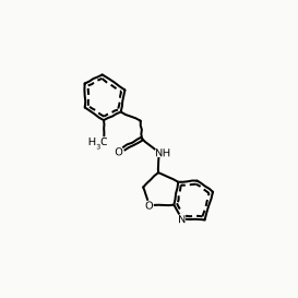 Cc1ccccc1CC(=O)NC1COc2ncccc21